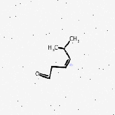 CC(C)/C=C\CC=O